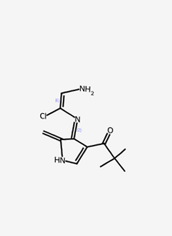 C=C1NC=C(C(=O)C(C)(C)C)/C1=N/C(Cl)=C\N